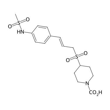 CS(=O)(=O)Nc1ccc(C=CCS(=O)(=O)C2CCN(C(=O)O)CC2)cc1